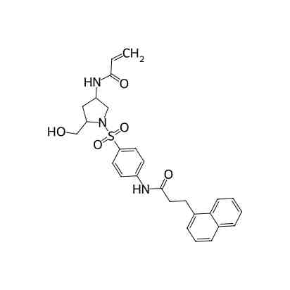 C=CC(=O)NC1CC(CO)N(S(=O)(=O)c2ccc(NC(=O)CCc3cccc4ccccc34)cc2)C1